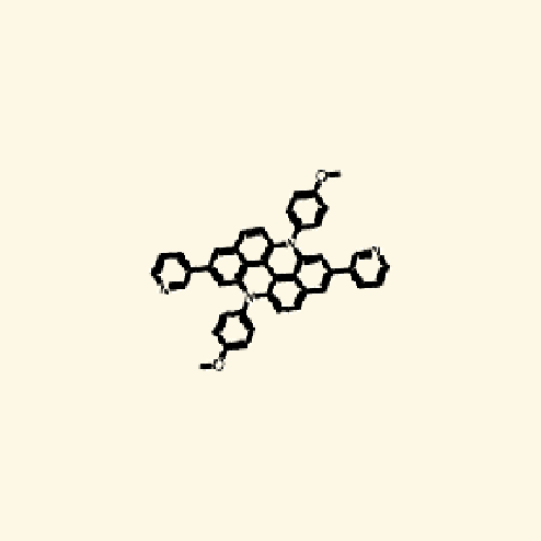 COc1ccc(-n2c3ccc4cc(-c5cccnc5)cc5c4c3-c3c4c(ccc3n5-c3ccc(OC)cc3)cc(-c3cccnc3)cc42)cc1